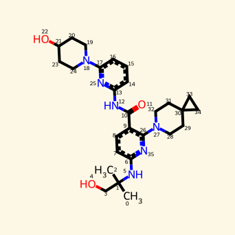 CC(C)(CO)Nc1ccc(C(=O)Nc2cccc(N3CCC(O)CC3)n2)c(N2CCC3(CC2)CC3)n1